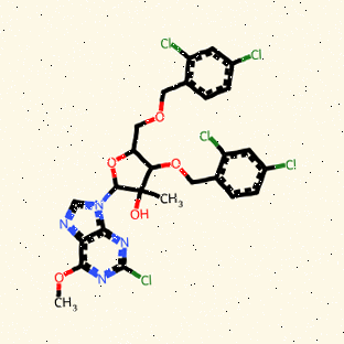 COc1nc(Cl)nc2c1ncn2C1OC(COCc2ccc(Cl)cc2Cl)C(OCc2ccc(Cl)cc2Cl)C1(C)O